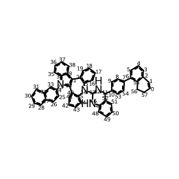 C1=Cc2cccc(-c3ccc(C4NC(N5c6ccccc6-c6c(n(-c7ccc8ccccc8c7)c7ccccc67)-c6ccccc65)Nc5ccccc54)cc3)c2CC1